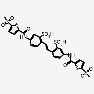 CS(=O)(=O)c1ccc(C(=O)Nc2ccc(/C=C/c3ccc(NC(=O)c4ccc(S(C)(=O)=O)s4)cc3S(=O)(=O)O)c(S(=O)(=O)O)c2)s1